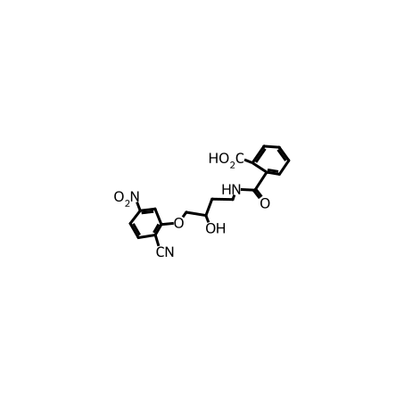 N#Cc1ccc([N+](=O)[O-])cc1OCC(O)CCNC(=O)c1ccccc1C(=O)O